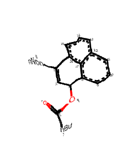 CCCCCCCCCC1=CC(OC(=O)CCCC)c2cccc3cccc1c23